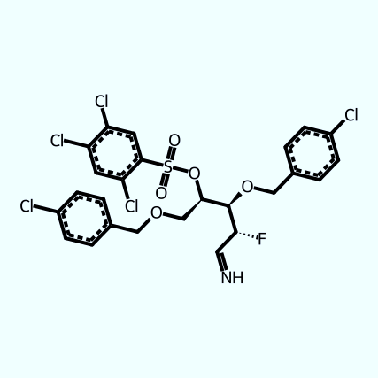 N=C[C@@H](F)[C@H](OCc1ccc(Cl)cc1)[C@@H](COCc1ccc(Cl)cc1)OS(=O)(=O)c1cc(Cl)c(Cl)cc1Cl